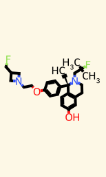 C#C[C@]1(c2ccc(OCCN3CC(CF)C3)cc2)c2ccc(O)cc2CCN1CC(C)(C)F